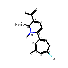 C=C(C)C1=CC=C(C2=CCC(F)=CC(C)=C2)N(C)C1CCCCC